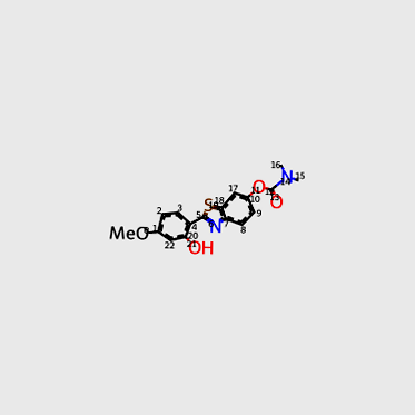 COc1ccc(-c2nc3ccc(OC(=O)N(C)C)cc3s2)c(O)c1